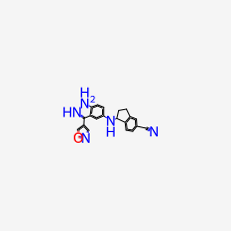 N#Cc1ccc2c(c1)CCC2Nc1ccc(N)c(C(=N)c2cnoc2)c1